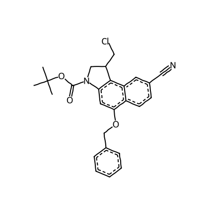 CC(C)(C)OC(=O)N1CC(CCl)c2c1cc(OCc1ccccc1)c1ccc(C#N)cc21